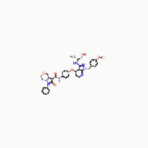 COc1ccc(Cn2nc(N[C@H](C)CO)c3c(Oc4ccc(NC(=O)c5c6n(n(-c7ccccc7)c5=O)CCOC6)cc4)ccnc32)cc1